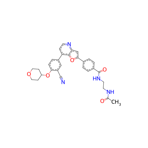 CC(=O)NCCNC(=O)c1ccc(-c2cc3nccc(-c4ccc(OC5CCOCC5)c(C#N)c4)c3o2)cc1